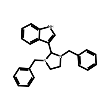 c1ccc(CN2CCN(Cc3ccccc3)C2c2c[nH]c3ccccc23)cc1